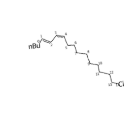 CCCC/C=C/C=C\CCCCCCCCCCl